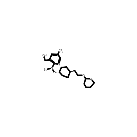 CCN(C[C@H]1CC[C@H](CCOC2CCCCO2)CC1)c1ncc(C(F)(F)F)cc1CO